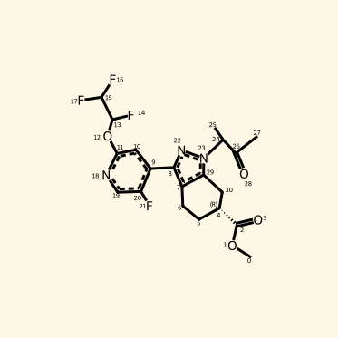 COC(=O)[C@@H]1CCc2c(-c3cc(OC(F)C(F)F)ncc3F)nn(C(C)C(C)=O)c2C1